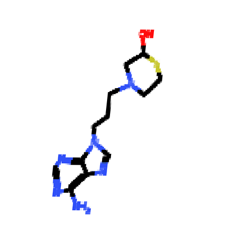 Nc1ncnc2c1ncn2CCCN1CCSC(O)C1